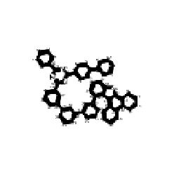 c1ccc(-c2ccc(-c3nc(-c4ccccc4)nc(-c4cccc(-c5cccc(-c6cccc(-c7cccc8sc9c%10ccccc%10c%10ccccc%10c9c78)c6)c5)c4)n3)cc2)cc1